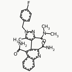 Cc1c(-c2c(C(N)=O)nc3ccccc3c2C(N)=O)c(C(=O)N(C)C)nn1Cc1ccc(F)cc1